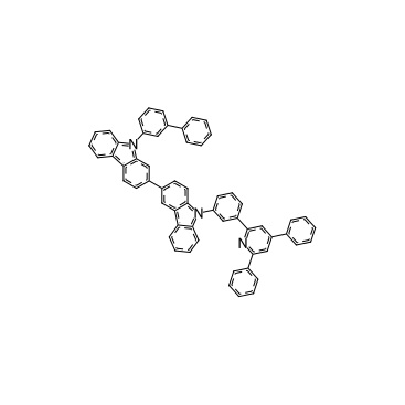 c1ccc(-c2cccc(-n3c4ccccc4c4ccc(-c5ccc6c(c5)c5ccccc5n6-c5cccc(-c6cc(-c7ccccc7)cc(-c7ccccc7)n6)c5)cc43)c2)cc1